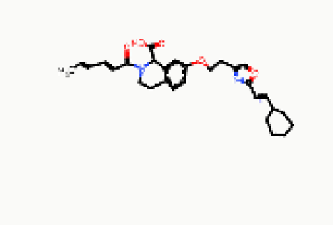 CC=CC=CC(=O)N1CCc2ccc(OCCc3coc(/C=C/C4CCCCC4)n3)cc2C1C(=O)O